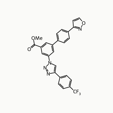 COC(=O)c1cc(-c2ccc(-c3ccon3)cc2)cc(-n2cc(-c3ccc(C(F)(F)F)cc3)nn2)c1